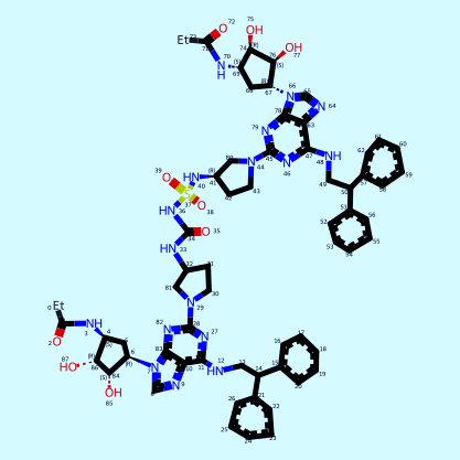 CCC(=O)N[C@H]1C[C@@H](n2cnc3c(NCC(c4ccccc4)c4ccccc4)nc(N4CCC(NC(=O)NS(=O)(=O)N[C@@H]5CCN(c6nc(NCC(c7ccccc7)c7ccccc7)c7ncn([C@@H]8C[C@H](NC(=O)CC)[C@@H](O)[C@H]8O)c7n6)C5)C4)nc32)[C@H](O)[C@@H]1O